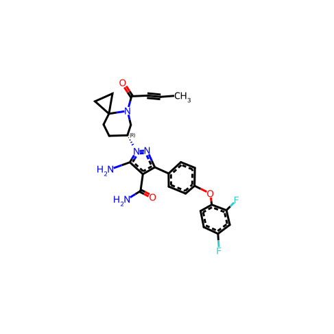 CC#CC(=O)N1C[C@H](n2nc(-c3ccc(Oc4ccc(F)cc4F)cc3)c(C(N)=O)c2N)CCC12CC2